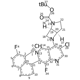 C#Cc1c(F)ccc2cccc(-c3ncc4c(N5C[C@@H]6[C@H]5CCN6C(=O)OC(C)(C)C)c(Cl)cnc4c3F)c12